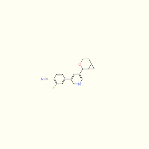 N#Cc1ccc(-c2cncc(C3OCCC4CC43)c2)cc1F